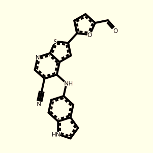 N#Cc1cnc2sc(-c3ccc(C=O)o3)cc2c1Nc1ccc2[nH]ccc2c1